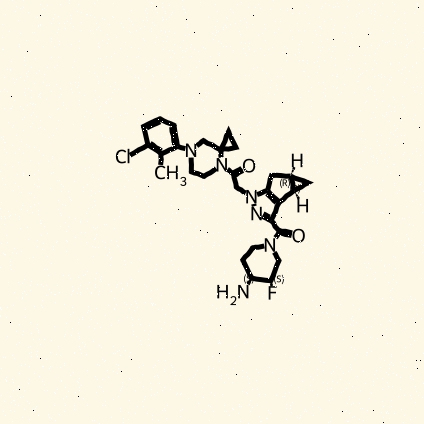 Cc1c(Cl)cccc1N1CCN(C(=O)Cn2nc(C(=O)N3CC[C@H](N)[C@@H](F)C3)c3c2C[C@H]2C[C@@H]32)C2(CC2)C1